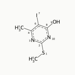 CSc1nc(C)c(I)c(O)n1